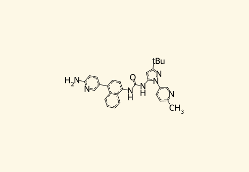 Cc1ccc(-n2nc(C(C)(C)C)cc2NC(=O)Nc2ccc(-c3ccc(N)nc3)c3ccccc23)cn1